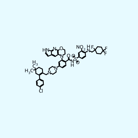 CC1(C)CCC(CN2CCN(c3ccc(C(=O)NS(=O)(=O)c4ccc(NCC5(F)CCC(F)(F)CC5)c([N+](=O)[O-])c4)c(N4CCOc5nc6[nH]ccc6cc54)c3)CC2)=C(c2ccc(Cl)cc2)C1